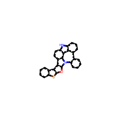 c1ccc2c(c1)sc1oc3c(c4ccc5[nH]c6cccc7c8ccccc8n3c4c5c67)c12